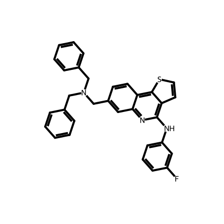 Fc1cccc(Nc2nc3cc(CN(Cc4ccccc4)Cc4ccccc4)ccc3c3sccc23)c1